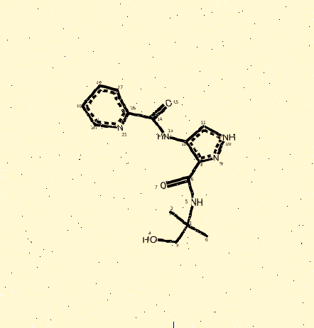 CC(C)(CO)NC(=O)c1n[nH]cc1NC(=O)c1ccccn1